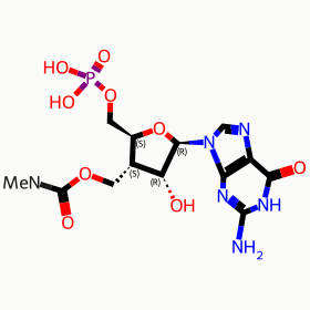 CNC(=O)OC[C@H]1[C@@H](O)[C@H](n2cnc3c(=O)[nH]c(N)nc32)O[C@@H]1COP(=O)(O)O